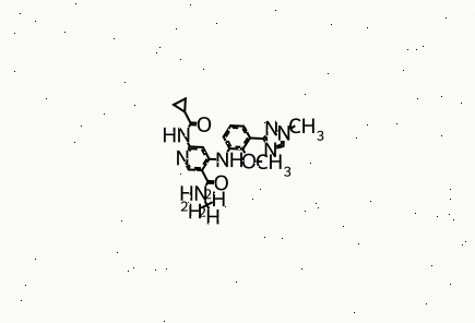 [2H]C([2H])([2H])NC(=O)c1cnc(NC(=O)C2CC2)cc1Nc1cccc(-c2ncn(C)n2)c1OC